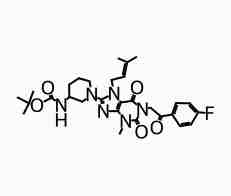 CC(C)=CCn1c(N2CCCC(NC(=O)OC(C)(C)C)C2)nc2c1c(=O)n(CC(=O)c1ccc(F)cc1)c(=O)n2C